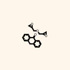 C(OCC1CO1)C1CO1.O=C1c2ccccc2Cc2ccccc21